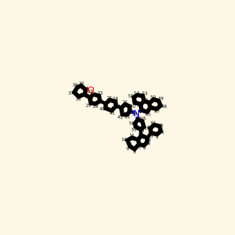 c1ccc(-c2ccc3ccccc3c2-c2ccc(N(c3ccc(-c4ccc(-c5ccc6c(c5)oc5ccccc56)cc4)cc3)c3cc4ccccc4c4ccccc34)cc2)cc1